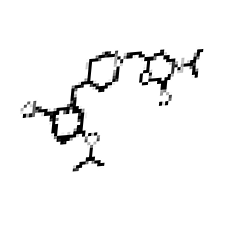 CC(C)Oc1ccc(Cl)c(CC2CCN(CC3CN(C(C)C)C(=O)O3)CC2)c1